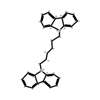 c1ccc2c(c1)c1ccccc1n2CCCCCCn1c2ccccc2c2ccccc21